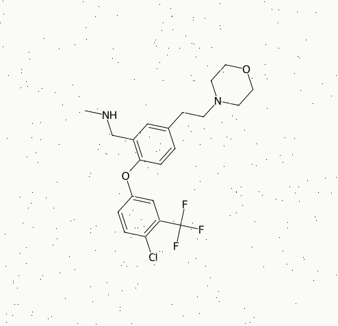 CNCc1cc(CCN2CCOCC2)ccc1Oc1ccc(Cl)c(C(F)(F)F)c1